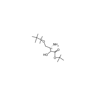 CC(C)(C)OC(=O)C(O)[C@@H](N)CO[Si](C)(C)C(C)(C)C